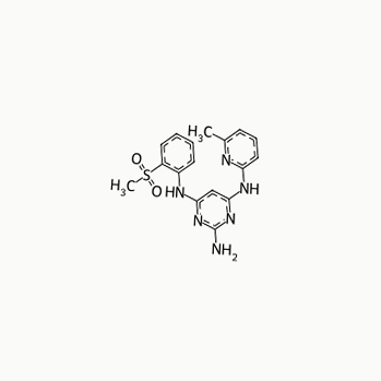 Cc1cccc(Nc2cc(Nc3ccccc3S(C)(=O)=O)nc(N)n2)n1